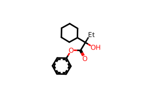 CCC(O)(C(=O)Oc1ccccc1)C1CCCCC1